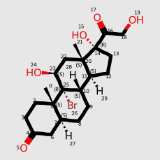 C[C@]12CCC(=O)C[C@@H]1CC[C@H]1[C@@H]3CC[C@](O)(C(=O)CO)[C@@]3(C)C[C@H](O)[C@@]12Br